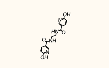 O=C(NCCNC(=O)c1ccc(O)nc1)c1ccc(O)nc1